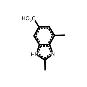 Cc1nc2c(C)cc(C(=O)O)cc2[nH]1